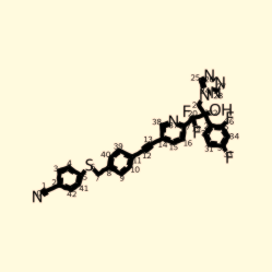 N#Cc1ccc(SCc2ccc(C#Cc3ccc(C(F)(F)C(O)(Cn4cnnn4)c4ccc(F)cc4F)nc3)cc2)cc1